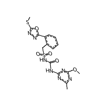 COc1nc(C)nc(NC(=O)NS(=O)(=O)Cc2ccccc2-c2nnc(SC)o2)n1